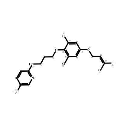 FC(F)(F)c1ccc(NCCCOc2c(Cl)cc(OCC=C(Cl)Cl)cc2Cl)nc1